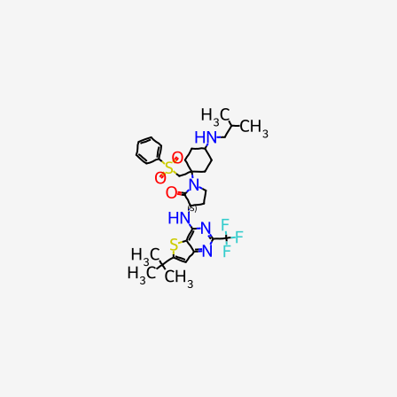 CC(C)CNC1CCC(CS(=O)(=O)c2ccccc2)(N2CC[C@H](Nc3nc(C(F)(F)F)nc4cc(C(C)(C)C)sc34)C2=O)CC1